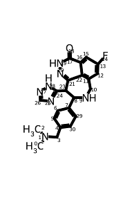 CN(C)Cc1ccc(C2NCc3cc(F)cc4c(=O)[nH]nc(c34)C2c2ncn[nH]2)cc1